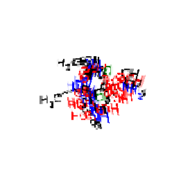 CCCCCCCCC(=O)NC(=O)C[C@@H]1NC(=O)[C@H](NC(=O)[C@@H](CC(C)C)NC)[C@H](O)c2ccc(c(Cl)c2)Oc2cc3cc(c2O[C@@H]2O[C@H](CO)[C@@H](O)[C@H](O)[C@H]2O[C@H]2C[C@](C)(N)[C@H](O)[C@H](C)O2)Oc2ccc(cc2Cl)[C@@H](O)[C@@H]2NC(=O)[C@H](NC(=O)[C@@H]3NC1=O)c1ccc(O)c(c1)-c1c(O)cc(O)cc1[C@@H](C(=O)NC1C3CC4CC(C3)CC1C4)NC2=O